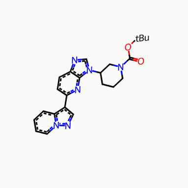 CC(C)(C)OC(=O)N1CCCC(n2cnc3ccc(-c4cnn5ccccc45)nc32)C1